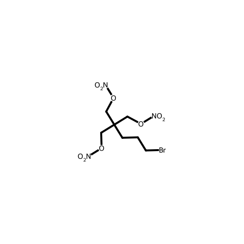 O=[N+]([O-])OCC(CCCBr)(CO[N+](=O)[O-])CO[N+](=O)[O-]